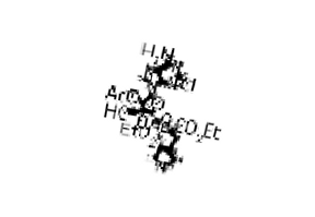 C#C[C@@]1(OC(C)=O)[C@@H](COC(Cc2ccncc2)(C(=O)OCC)C(=O)OCC)O[C@@H](n2cnc3c(N)nc(Cl)nc32)[C@@H]1OC(C)=O